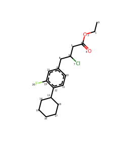 CCOC(=O)CC(Cl)Cc1ccc(C2CCCCC2)c(F)c1